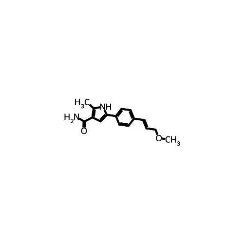 COC/C=C/c1ccc(-c2cc(C(N)=O)c(C)[nH]2)cc1